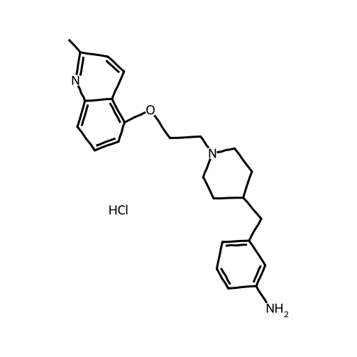 Cc1ccc2c(OCCN3CCC(Cc4cccc(N)c4)CC3)cccc2n1.Cl